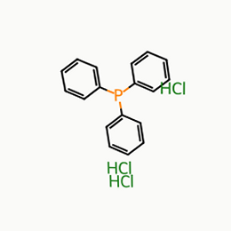 Cl.Cl.Cl.c1ccc(P(c2ccccc2)c2ccccc2)cc1